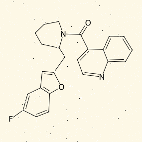 O=C(c1ccnc2ccccc12)N1CCCCC1Cc1cc2cc(F)ccc2o1